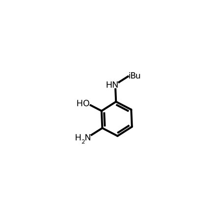 CCC(C)Nc1cccc(N)c1O